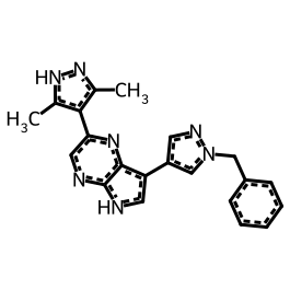 Cc1n[nH]c(C)c1-c1cnc2[nH]cc(-c3cnn(Cc4ccccc4)c3)c2n1